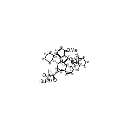 CCC(C)S(=O)(=O)NC(=O)C1=C2Cn3c(cc4c(OC)ccc(C5CCCCC5)c43)C3C(=C21)C=CC[C@H]3C(=O)N1[C@@H]2CCC[C@H]1COC2